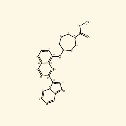 CC(C)(C)OC(=O)N1CCCC(Oc2cccc3ccc(-c4nnc5ccccn45)nc23)CC1